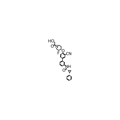 N#Cc1cc(-c2cccc(NC(=O)[C@@H]3C[C@@H]3c3ccccc3)c2)ccc1O[C@H]1CCN(C(=O)CO)C[C@H]1F